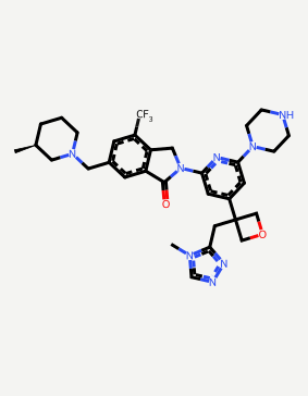 C[C@H]1CCCN(Cc2cc3c(c(C(F)(F)F)c2)CN(c2cc(C4(Cc5nncn5C)COC4)cc(N4CCNCC4)n2)C3=O)C1